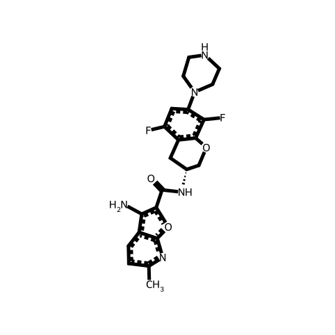 Cc1ccc2c(N)c(C(=O)N[C@H]3COc4c(F)c(N5CCNCC5)cc(F)c4C3)oc2n1